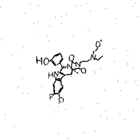 CCN(CCOC)CCN1C(=O)N2[C@H](c3cccc(O)c3)c3[nH]c4cc(F)c(OC)cc4c3C[C@@]2(C)C1=O